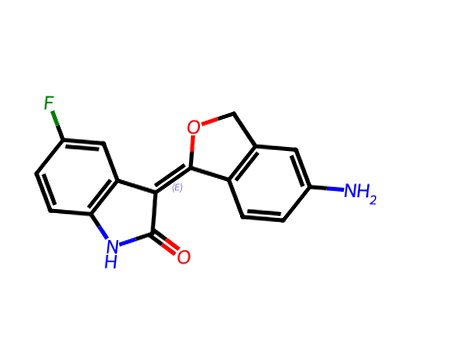 Nc1ccc2c(c1)CO/C2=C1/C(=O)Nc2ccc(F)cc21